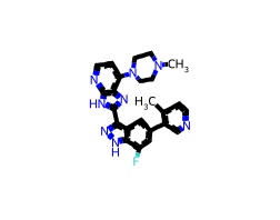 Cc1ccncc1-c1cc(F)c2[nH]nc(-c3nc4c(N5CCN(C)CC5)ccnc4[nH]3)c2c1